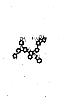 Cc1ccc(-n2c3ccc(-c4cccnc4)cc3c3cc4c(cc32)sc2c4c3ccccc3c3c2c2cc(-c4ccc5c(c4)-c4ccccc4C5(C)C)ccc2n3-c2cc3ccccc3o2)cc1